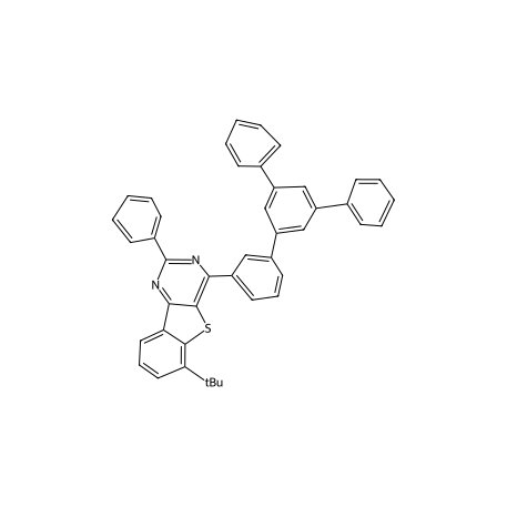 CC(C)(C)c1cccc2c1sc1c(-c3cccc(-c4cc(-c5ccccc5)cc(-c5ccccc5)c4)c3)nc(-c3ccccc3)nc12